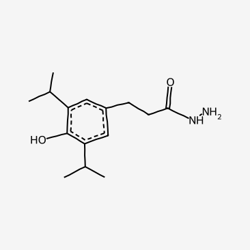 CC(C)c1cc(CCC(=O)NN)cc(C(C)C)c1O